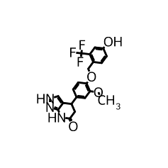 COc1cc(C2CC(=O)Nc3n[nH]cc32)ccc1OCc1ccc(O)cc1C(F)(F)F